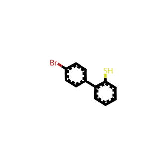 Sc1ccccc1-c1ccc(Br)cc1